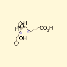 O=C(O)CCC/C=C\C[C@H]1[C@H](/C=C/C(O)CC2CCCC2)[C@@H]2CC[C@H]1O2